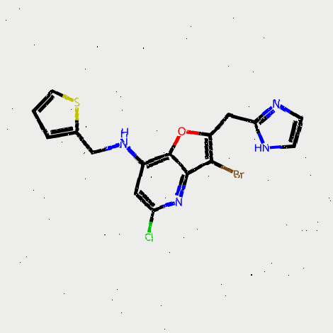 Clc1cc(NCc2cccs2)c2oc(Cc3ncc[nH]3)c(Br)c2n1